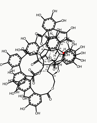 O=C(O[C@@H]1COC(=O)c2cc(O)c(O)c(O)c2-c2c(cc(O)c(O)c2O)C(=O)O[C@H]1[C@@H]1OC(=O)c2cc(O)c(O)c(O)c2C2=C(O)C(=O)[C@@]34Oc5c(O)c(O)cc(C(=O)O[C@H]6COC(=O)c7cc(O)c(O)c(O)c7-c7c(cc(O)c(O)c7O)C(=O)O[C@@H]6[C@H]6OC(=O)c7cc(O)c(O)c(O)c7-c7c(O)c(O)c(O)c8c7C(=O)O[C@H]6[C@@H]8O)c5[C@@H]3[C@@H]1OC(=O)[C@@H]24)c1cc(O)c(O)c(O)c1